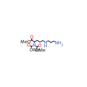 COC(=O)C(CCCNCCCN)N(C(=O)OC)C(=O)OC